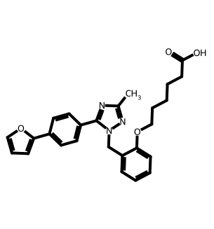 Cc1nc(-c2ccc(-c3ccco3)cc2)n(Cc2ccccc2OCCCCCC(=O)O)n1